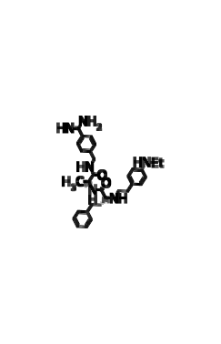 CCNc1ccc(CCN[C@H](CCc2ccccc2)C(=O)N[C@@H](C)C(=O)NCc2ccc(C(=N)N)cc2)cc1